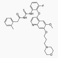 COc1cc2c(Oc3c(F)cccc3NC(=S)NC(=O)Cc3ccccc3C)ccnc2cc1OCCCN1CCOCC1